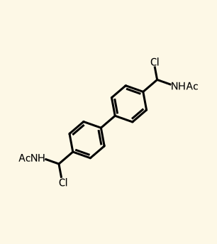 CC(=O)NC(Cl)c1ccc(-c2ccc(C(Cl)NC(C)=O)cc2)cc1